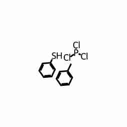 Cc1ccccc1.ClP(Cl)Cl.Sc1ccccc1